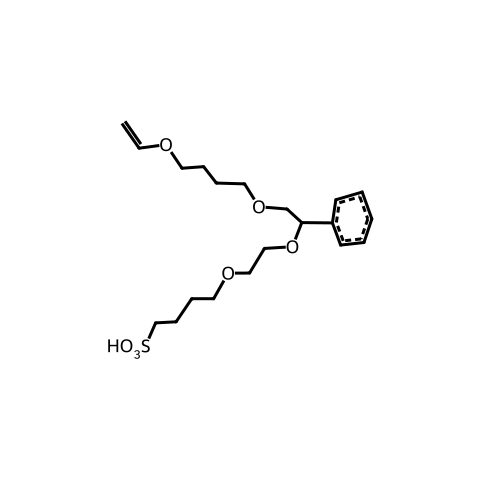 C=COCCCCOCC(OCCOCCCCS(=O)(=O)O)c1ccccc1